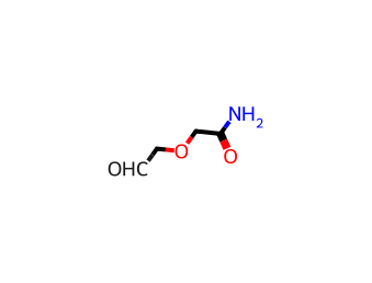 NC(=O)COCC=O